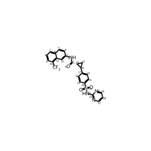 O=C(Nc1ccc2cccc(C(F)(F)F)c2c1)[C@@H]1CC1c1ccc(S(=O)(=O)Nc2ncccn2)cc1